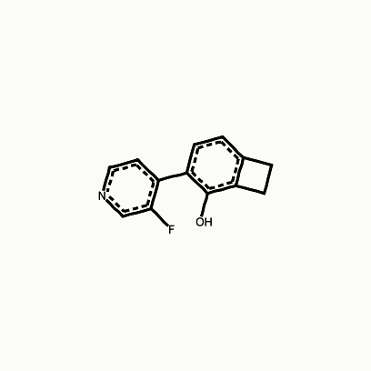 Oc1c(-c2ccncc2F)ccc2c1CC2